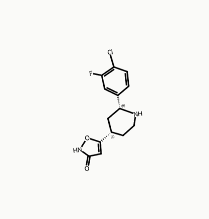 O=c1cc([C@H]2CCN[C@@H](c3ccc(Cl)c(F)c3)C2)o[nH]1